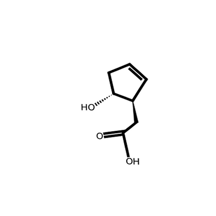 O=C(O)C[C@@H]1C=CC[C@H]1O